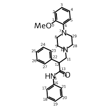 COc1ccccc1N1CCN(CC(C(=O)Nc2ccccc2)c2ccccc2)CC1